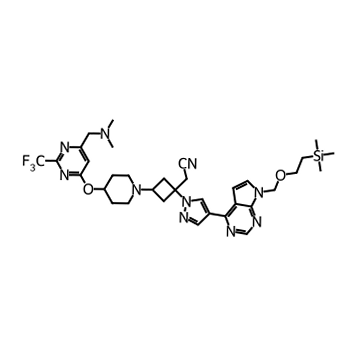 CN(C)Cc1cc(OC2CCN(C3CC(CC#N)(n4cc(-c5ncnc6c5ccn6COCC[Si](C)(C)C)cn4)C3)CC2)nc(C(F)(F)F)n1